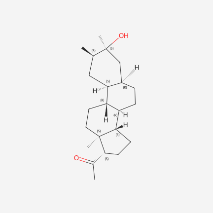 CC(=O)[C@H]1CC[C@H]2[C@@H]3CC[C@@H]4C[C@](C)(O)[C@H](C)C[C@@H]4[C@H]3CC[C@]12C